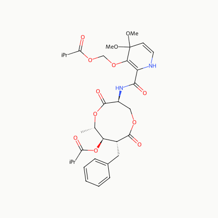 COC1(OC)C=CNC(C(=O)N[C@H]2COC(=O)[C@H](Cc3ccccc3)[C@@H](OC(=O)C(C)C)[C@H](C)OC2=O)=C1OCOC(=O)C(C)C